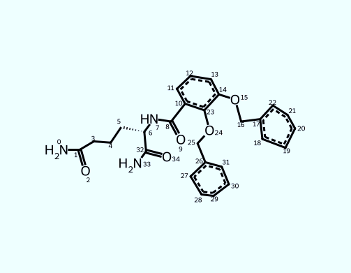 NC(=O)CCC[C@H](NC(=O)c1cccc(OCc2ccccc2)c1OCc1ccccc1)C(N)=O